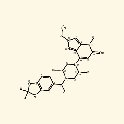 CC(c1ccc2c(c1)OC(C)(C)O2)N1C[C@H](C)N(c2cc(=O)n(C)c3cn(CC#N)nc23)C[C@H]1C